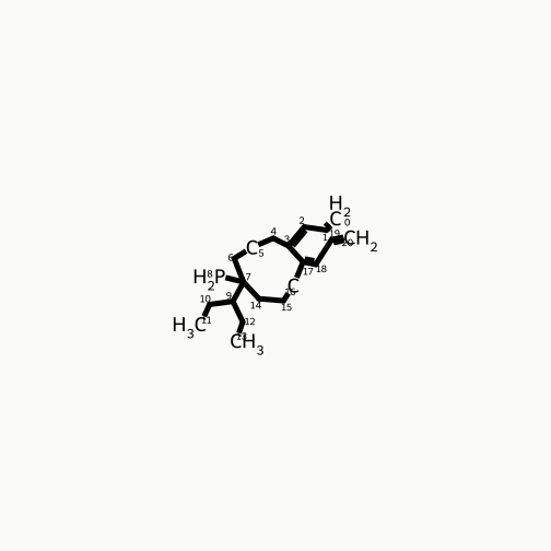 C=C/C=C1/CCCC(P)(C(CC)CC)CCC/C1=C/C=C